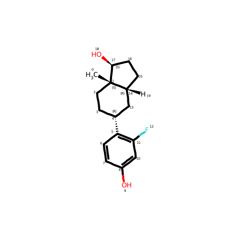 C[C@]12CC[C@@H](c3ccc(O)cc3F)C[C@H]1CC[C@@H]2O